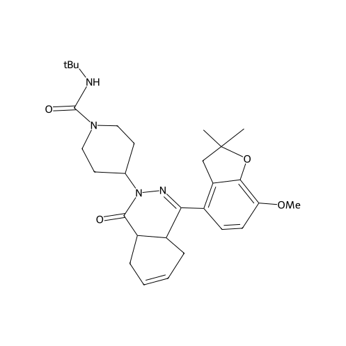 COc1ccc(C2=NN(C3CCN(C(=O)NC(C)(C)C)CC3)C(=O)C3CC=CCC23)c2c1OC(C)(C)C2